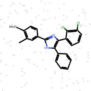 COc1ccc(-c2nc(-c3cccc(Cl)c3Cl)c(-c3ccccc3)[nH]2)cc1C